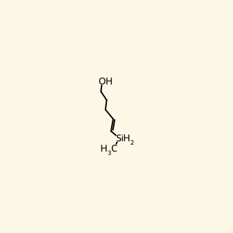 C[SiH2]/C=C/CCCO